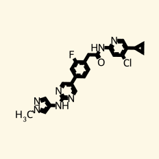 Cn1cc(Nc2ncc(-c3ccc(CC(=O)Nc4cc(Cl)c(C5CC5)cn4)c(F)c3)cn2)cn1